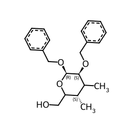 CC1[C@H](C)C(CO)O[C@@H](OCc2ccccc2)[C@H]1OCc1ccccc1